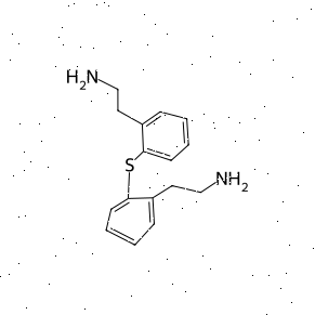 NCCc1ccccc1Sc1ccccc1CCN